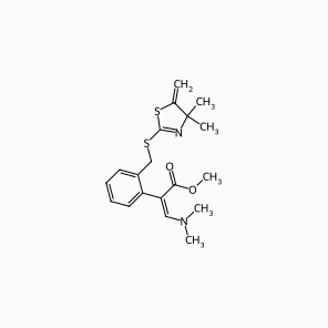 C=C1SC(SCc2ccccc2C(=CN(C)C)C(=O)OC)=NC1(C)C